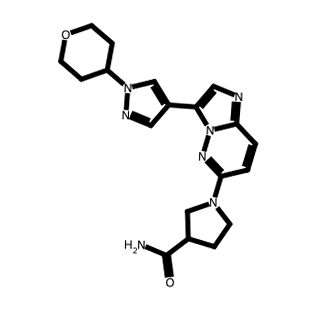 NC(=O)C1CCN(c2ccc3ncc(-c4cnn(C5CCOCC5)c4)n3n2)C1